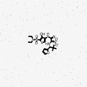 CCN(CC)S(=O)(=O)c1scc(Nc2no[n+]([O-])c2N[C@@H](c2ccco2)C(C)(C)C)c1O